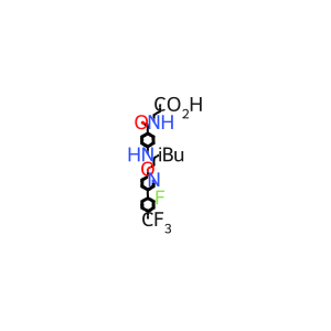 CCC(C)C(COc1ccc(-c2ccc(C(F)(F)F)cc2F)cn1)Nc1ccc(C(=O)NCCC(=O)O)cc1